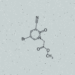 COC(=O)Cn1cc(Br)cc(C#N)c1=O